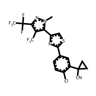 Cn1nc(C(F)(F)C(F)(F)F)c(C(F)(F)F)c1-c1csc(-c2ccc(Cl)c(C3(C#N)CC3)c2)n1